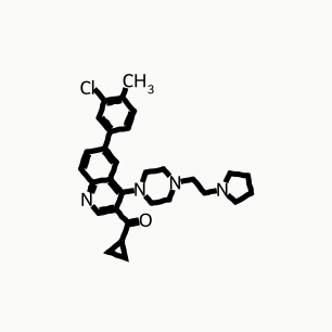 Cc1ccc(-c2ccc3ncc(C(=O)C4CC4)c(N4CCN(CCN5CCCC5)CC4)c3c2)cc1Cl